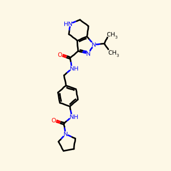 CC(C)n1nc(C(=O)NCc2ccc(NC(=O)N3CCCC3)cc2)c2c1CCNC2